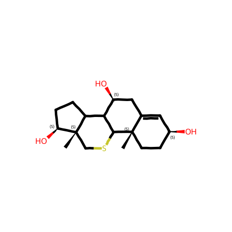 C[C@]12CC[C@H](O)C=C1C[C@H](O)C1C2SC[C@@]2(C)C1CC[C@@H]2O